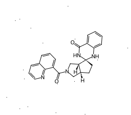 O=C1N[C@]2(CC[C@@H]3CN(C(=O)c4cccc5cccnc45)C[C@@H]32)Nc2ccccc21